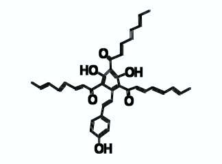 CC=CC=CC=CC(=O)c1c(O)c(C(=O)C=CC=CC=CC)c(C=Cc2ccc(O)cc2)c(C(=O)C=CC=CC=CC)c1O